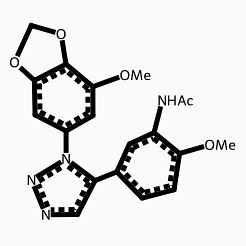 COc1ccc(-c2cnnn2-c2cc(OC)c3c(c2)OCO3)cc1NC(C)=O